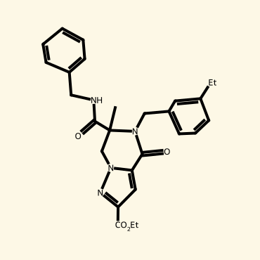 CCOC(=O)c1cc2n(n1)CC(C)(C(=O)NCc1ccccc1)N(Cc1cccc(CC)c1)C2=O